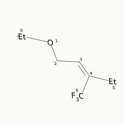 C[CH]OC/C=C(/CC)C(F)(F)F